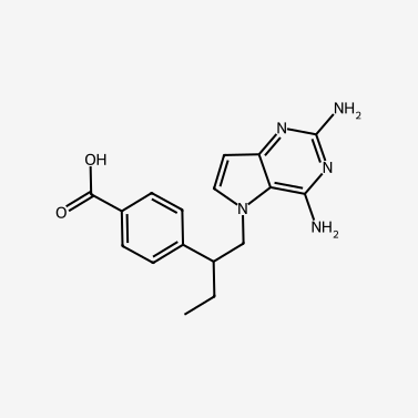 CCC(Cn1ccc2nc(N)nc(N)c21)c1ccc(C(=O)O)cc1